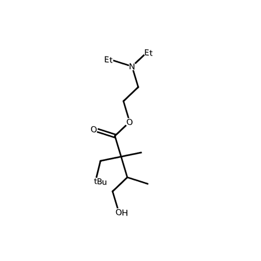 CCN(CC)CCOC(=O)C(C)(CC(C)(C)C)C(C)CO